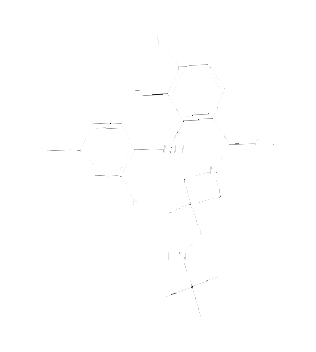 CC(C)(C)NCC1(O)CN(C(O)c2ccc(F)c(F)c2Nc2ccc(I)cc2F)C1